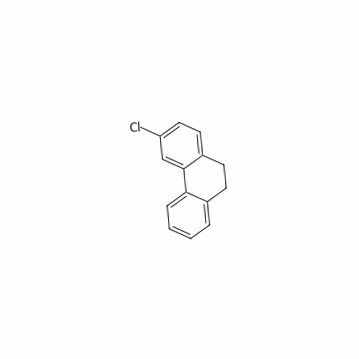 Clc1ccc2c(c1)-c1ccccc1CC2